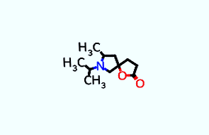 CC(C)N1CC2(CCC(=O)O2)CC1C